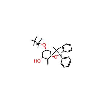 C=C1[C@H](O)C[C@@H](O[Si](C)(C)C(C)(C)C)C[C@H]1O[Si](c1ccccc1)(c1ccccc1)C(C)(C)C